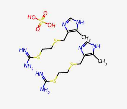 Cc1[nH]cnc1CSCCSC(=N)N.Cc1[nH]cnc1CSCCSC(=N)N.O=S(=O)(O)O